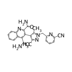 Cc1nn(Cc2cccc(C#N)n2)c(C)c1-c1c(C(N)=O)nc2ccccc2c1C(N)=O